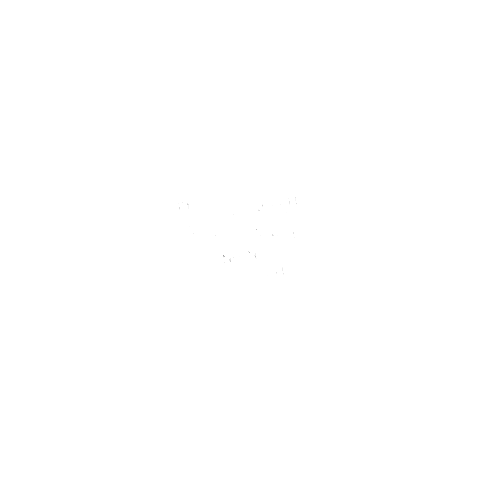 CCSC1=NN(C)C(C)(C(=O)O)C1